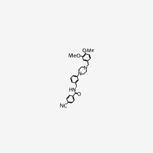 COc1ccc(CN2CCN(c3cccc(CNC(=O)c4ccc(C#N)cc4)c3)CC2)cc1OC